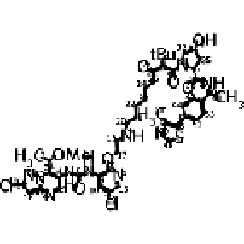 COC(C)c1c(NC(=O)Nc2cc(Cl)cnc2OCCNCCCCCCC(=O)C(C(=O)N2C[C@H](O)C[C@H]2C(=O)NC(C)c2ccc(-c3scnc3C)cc2)C(C)(C)C)cnc2cc(Cl)nn12